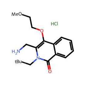 COCCOc1c(CN)n(CC(C)(C)C)c(=O)c2ccccc12.Cl